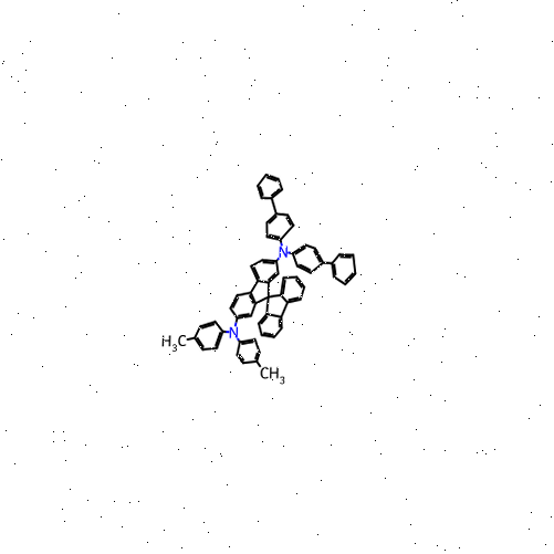 Cc1ccc(N(c2ccc(C)cc2)c2ccc3c(c2)C2(c4ccccc4-c4ccccc42)c2cc(N(c4ccc(-c5ccccc5)cc4)c4ccc(-c5ccccc5)cc4)ccc2-3)cc1